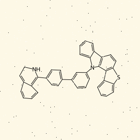 C1=c2ccccc2=C(c2ccc(-c3cccc(-n4c5ccccc5c5ccc6sc7ccccc7c6c54)c3)cc2)NC1